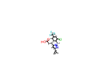 O=C(O)CCc1cc(C2CC2)nn1Cc1ccc(C(F)(F)F)cc1Cl